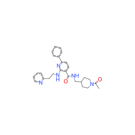 CC(=O)N1CCC(CNC(=O)c2ccc(-c3ccccc3)nc2NCCc2ccccn2)CC1